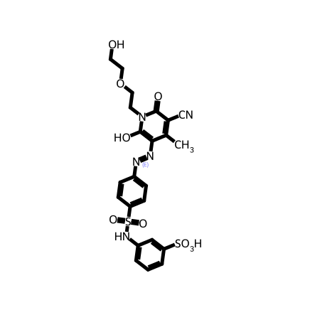 Cc1c(/N=N/c2ccc(S(=O)(=O)Nc3cccc(S(=O)(=O)O)c3)cc2)c(O)n(CCOCCO)c(=O)c1C#N